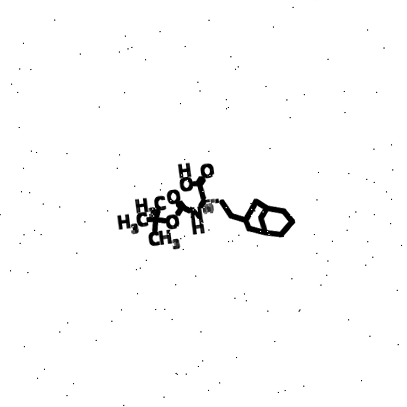 CC(C)(C)OC(=O)N[C@@H](CCC1CC2CCCC(C2)C1)C(=O)O